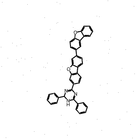 c1ccc(C2=NC(c3ccc4c(c3)oc3cc(-c5ccc6oc7ccccc7c6c5)ccc34)=NC(c3ccccc3)N2)cc1